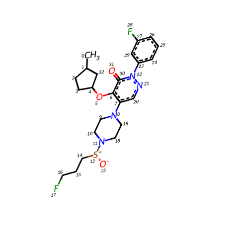 CC1CCC(Oc2c(N3CCN([S@+]([O-])CCCF)CC3)cnn(-c3cccc(F)c3)c2=O)C1